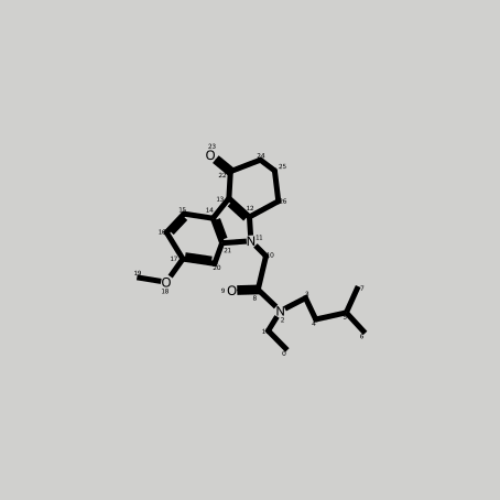 CCN(CCC(C)C)C(=O)Cn1c2c(c3ccc(OC)cc31)C(=O)CCC2